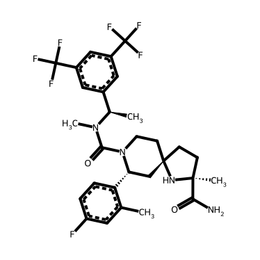 Cc1cc(F)ccc1[C@H]1C[C@@]2(CCN1C(=O)N(C)[C@H](C)c1cc(C(F)(F)F)cc(C(F)(F)F)c1)CC[C@@](C)(C(N)=O)N2